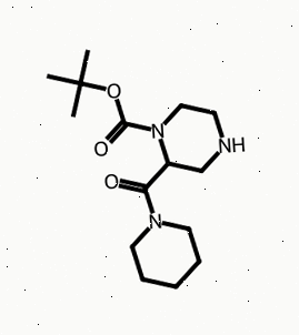 CC(C)(C)OC(=O)N1CCNCC1C(=O)N1CCCCC1